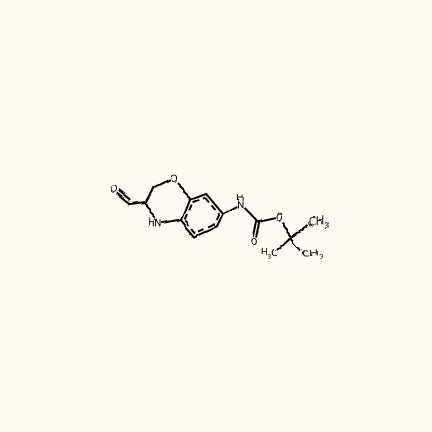 CC(C)(C)OC(=O)Nc1ccc2c(c1)OCC(C=O)N2